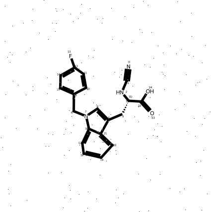 N#CN[C@@H](Cc1cn(Cc2ccc(F)cc2)c2ccccc12)C(=O)O